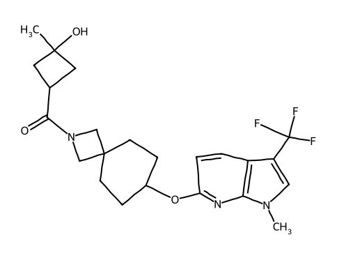 Cn1cc(C(F)(F)F)c2ccc(OC3CCC4(CC3)CN(C(=O)C3CC(C)(O)C3)C4)nc21